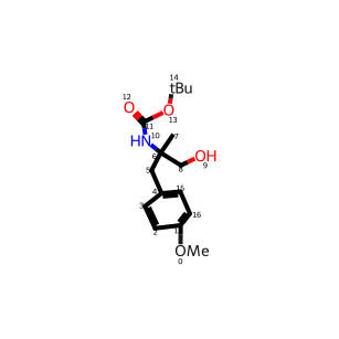 COc1ccc(CC(C)(CO)NC(=O)OC(C)(C)C)cc1